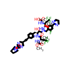 COC(=O)N[C@H](C(=O)N[C@@H](Cc1ccc(C#Cc2cnc(N3CC4CCC(C3)N4C3COC3)nc2)cc1)[C@@H](O)CN(Cc1c(F)cc(-c2ncccn2)cc1F)NC(=O)[C@@H](NC(=O)O)C(C)(C)C(F)(F)F)C(C)(C)C(F)(F)F